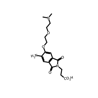 CN(C)CCOCCOc1cc2c(cc1N)C(=O)N(CCC(=O)O)C2=O